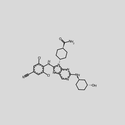 N#Cc1cc(Cl)c(Nc2nc3cnc(N[C@@H]4CCC[C@@H](O)C4)nc3n2[C@H]2CC[C@H](C(N)=O)CC2)c(Cl)c1